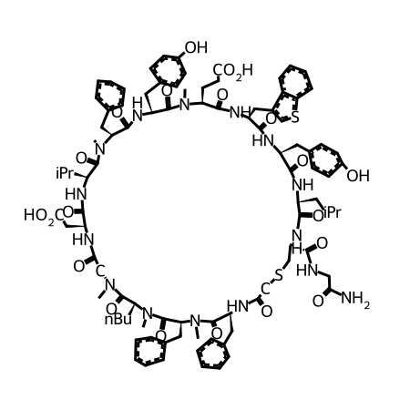 CCCC[C@H]1C(=O)N(C)CC(=O)N[C@@H](CC(=O)O)C(=O)N[C@@H](C(C)C)C(=O)N(C)[C@@H](Cc2ccccc2)C(=O)N[C@@H](Cc2ccc(O)cc2)C(=O)N(C)[C@@H](CCC(=O)O)C(=O)N[C@@H](Cc2csc3ccccc23)C(=O)N[C@@H](Cc2ccc(O)cc2)C(=O)N[C@@H](CC(C)C)C(=O)N[C@H](C(=O)NCC(N)=O)CSCC(=O)N[C@@H](Cc2ccccc2)C(=O)N(C)[C@@H](Cc2ccccc2)C(=O)N1C